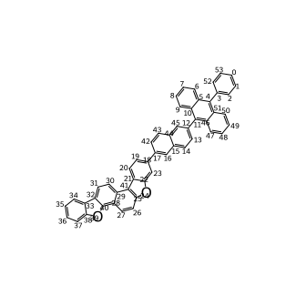 c1ccc(-c2c3ccccc3c(-c3ccc4cc(-c5ccc6c(c5)oc5ccc7c(ccc8c9ccccc9oc87)c56)ccc4c3)c3ccccc23)cc1